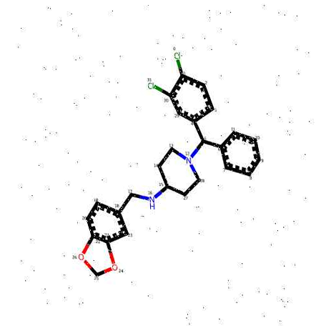 Clc1ccc(C(c2ccccc2)N2CCC(NCc3ccc4c(c3)OCO4)CC2)cc1Cl